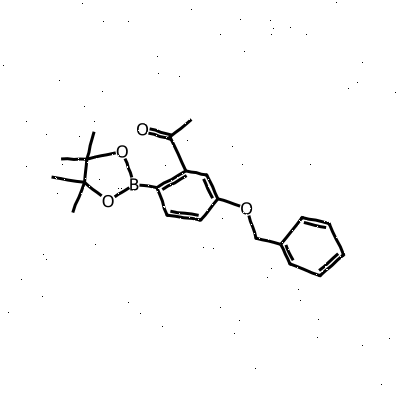 CC(=O)c1cc(OCc2ccccc2)ccc1B1OC(C)(C)C(C)(C)O1